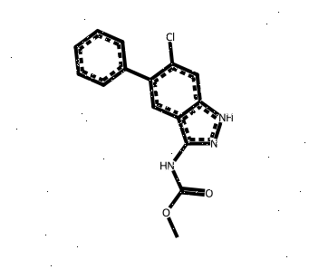 COC(=O)Nc1n[nH]c2cc(Cl)c(-c3ccccc3)cc12